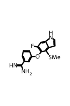 CSc1c(Oc2cccc(C(=N)N)c2)c(F)cc2[nH]ccc12